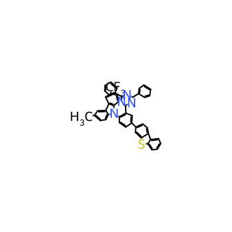 Cc1ccc2c(c1)c1cc(C(F)(F)F)ccc1n2-c1ccc(-c2ccc3c(c2)sc2ccccc23)cc1-c1nc(-c2ccccc2)nc(-c2ccccc2)n1